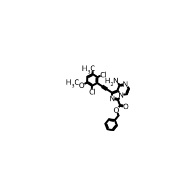 COc1cc(C)c(Cl)c(C#Cc2nc(C(=O)OCc3ccccc3)n3ccnc(N)c23)c1Cl